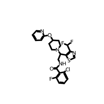 O=C(NCC(c1scnc1C(F)F)N1CCC(Oc2ccccn2)CC1)c1c(F)cccc1Cl